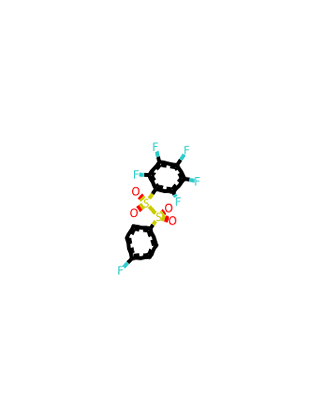 O=S(=O)(c1ccc(F)cc1)S(=O)(=O)c1c(F)c(F)c(F)c(F)c1F